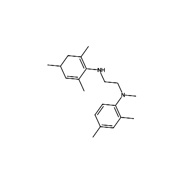 CC1=CC(C)CC(C)=C1NCCN(C)c1ccc(C)cc1C